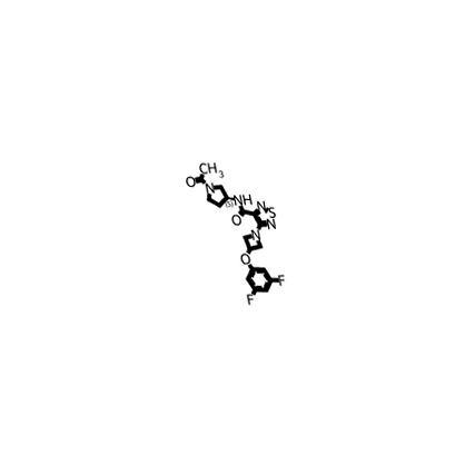 CC(=O)N1CC[C@H](NC(=O)c2nsnc2N2CC(Oc3cc(F)cc(F)c3)C2)C1